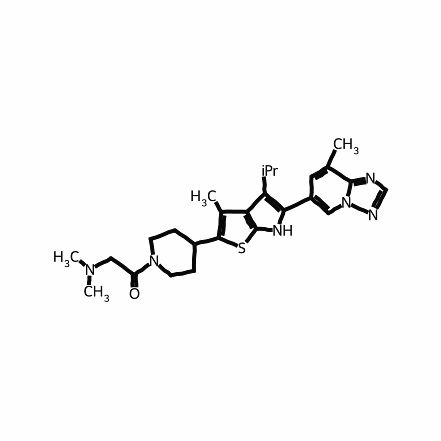 Cc1c(C2CCN(C(=O)CN(C)C)CC2)sc2[nH]c(-c3cc(C)c4ncnn4c3)c(C(C)C)c12